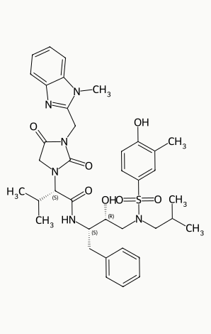 Cc1cc(S(=O)(=O)N(CC(C)C)C[C@@H](O)[C@H](Cc2ccccc2)NC(=O)[C@H](C(C)C)N2CC(=O)N(Cc3nc4ccccc4n3C)C2=O)ccc1O